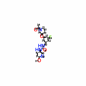 COc1ccc(NC(=O)NCc2cc(F)cc(OC3CCCN(C(C)=O)C3)c2)cn1